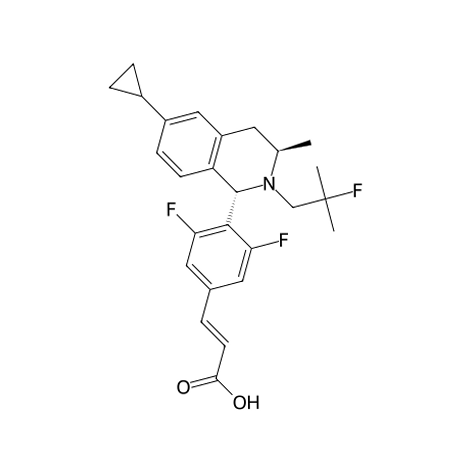 C[C@@H]1Cc2cc(C3CC3)ccc2[C@@H](c2c(F)cc(/C=C/C(=O)O)cc2F)N1CC(C)(C)F